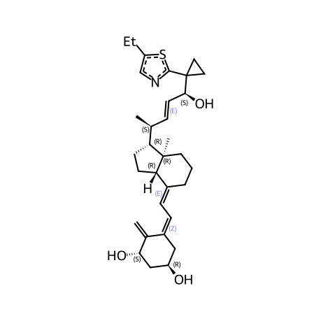 C=C1/C(=C\C=C2/CCC[C@]3(C)[C@@H]([C@@H](C)/C=C/[C@H](O)C4(c5ncc(CC)s5)CC4)CC[C@@H]23)C[C@@H](O)C[C@@H]1O